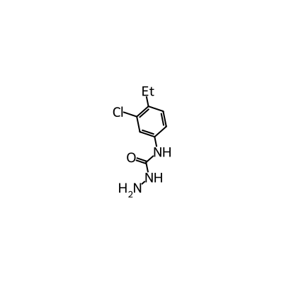 CCc1ccc(NC(=O)NN)cc1Cl